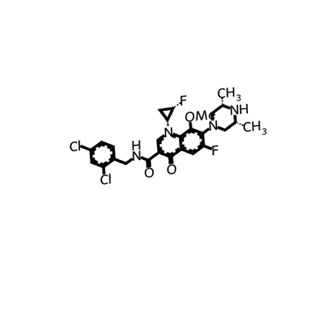 COc1c(N2C[C@@H](C)N[C@@H](C)C2)c(F)cc2c(=O)c(C(=O)NCc3ccc(Cl)cc3Cl)cn([C@@H]3C[C@@H]3F)c12